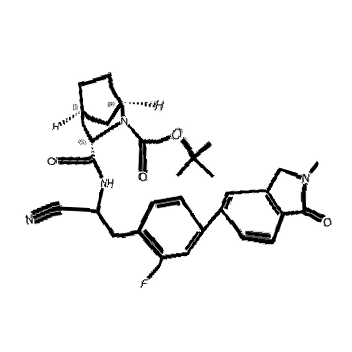 CN1Cc2cc(-c3ccc(CC(C#N)NC(=O)[C@@H]4[C@H]5CC[C@H](C5)N4C(=O)OC(C)(C)C)c(F)c3)ccc2C1=O